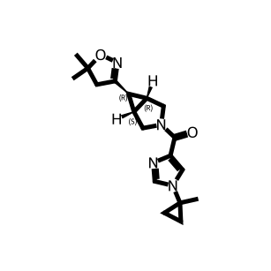 CC1(C)CC([C@H]2[C@@H]3CN(C(=O)c4cn(C5(C)CC5)cn4)C[C@@H]32)=NO1